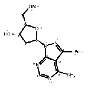 CCCCCc1nn([C@H]2C[C@H](O)[C@@H](COC)O2)c2ncnc(N)c12